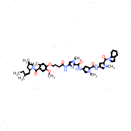 C=C1CC(/C=C(/C)CC)N(C(=O)c2cc(OC)c(OCCCC(=O)Nc3cn(C)c(C(=O)Nc4cc(C(=O)Nc5cc(C(=O)n6ccc7ccccc76)n(C)c5)n(C)c4)n3)cc2C)C1